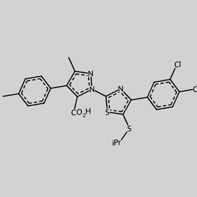 Cc1ccc(-c2c(C)nn(-c3nc(-c4ccc(Cl)c(Cl)c4)c(SC(C)C)s3)c2C(=O)O)cc1